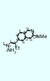 CC/C(=C\N(C)N)c1ccc2cnc(NC)cc2c1